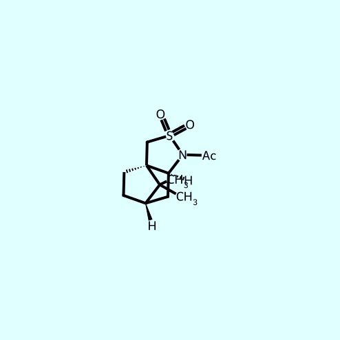 CC(=O)N1[C@H]2C[C@@H]3CC[C@@]2(CS1(=O)=O)C3(C)C